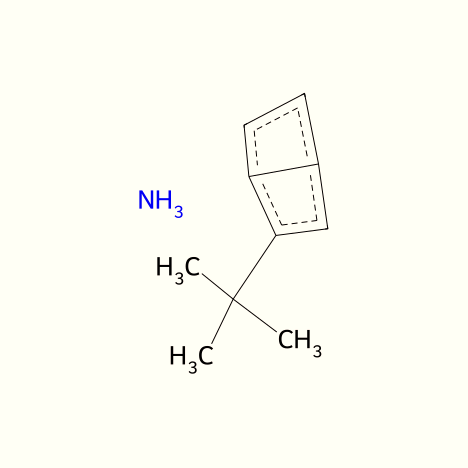 CC(C)(C)c1cc2ccc1-2.N